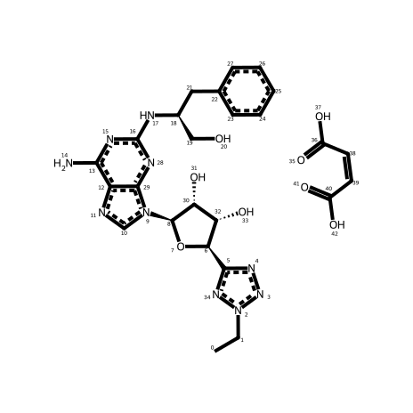 CCn1nnc([C@H]2O[C@@H](n3cnc4c(N)nc(N[C@H](CO)Cc5ccccc5)nc43)[C@H](O)[C@@H]2O)n1.O=C(O)/C=C\C(=O)O